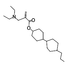 C=C(CN(CC)CC)C(=O)OC1CCC(C2CCC(CCC)CC2)CC1